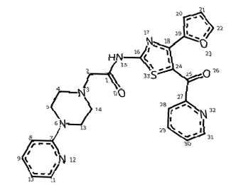 O=C(CN1CCN(c2ccccn2)CC1)Nc1nc(-c2ccco2)c(C(=O)c2ccccn2)s1